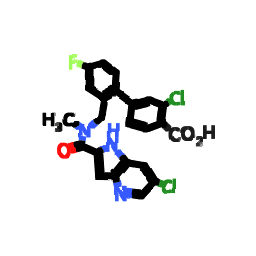 CN(Cc1cc(F)ccc1-c1ccc(C(=O)O)c(Cl)c1)C(=O)c1cc2ncc(Cl)cc2[nH]1